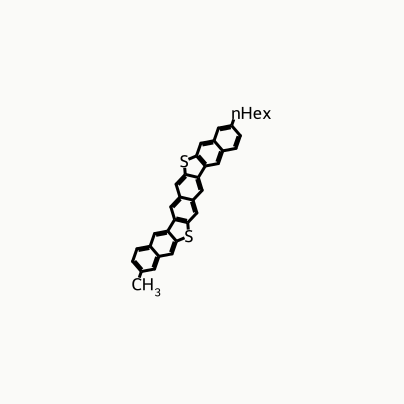 CCCCCCc1ccc2cc3c(cc2c1)sc1cc2cc4c(cc2cc13)sc1cc2cc(C)ccc2cc14